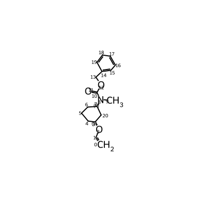 C=CO[C@H]1CCC[C@@H](N(C)C(=O)OCc2ccccc2)C1